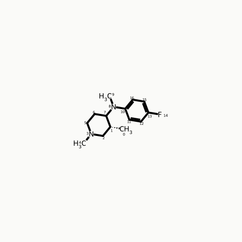 C[C@@H]1CN(C)CCC1N(C)c1ccc(F)cc1